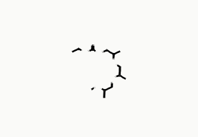 CCOC(=O)OCC(C)OCC(C)OCC(C)OC